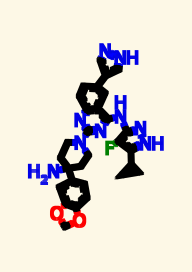 NC1(c2ccc3c(c2)OCO3)CCN(c2nc(Nc3n[nH]c(C4CC4)c3F)c3cc(-c4cn[nH]c4)ccc3n2)CC1